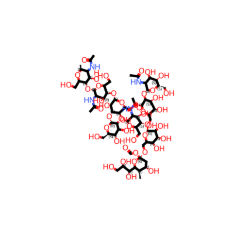 CC(=O)NC1C(O)[C@H](O)[C@H](CO)O[C@H]1OC1[C@@H](OCC2O[C@@H](O[C@@H]3C(CO)O[C@@H](O[C@@H]4C(CO)O[C@@H](C)C(NC(C)=O)[C@H]4O)C(NC(C)=O)[C@H]3O)C(O)[C@@H](O[C@H]3O[C@H](CO)[C@@H](O)C(O)C3O[C@@H]3OC(CO)[C@@H](O[C@@H]4OC(CO[C@]5(OC=O)C[C@@H](O)[C@@H](C)C([C@H](O)[C@H](O)CO)O5)[C@H](O)[C@H](O)C4O)[C@H](O)C3NC(C)=O)[C@@H]2O)OC(CO)[C@@H](O)[C@@H]1O